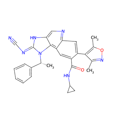 Cc1noc(C)c1-c1cc2ncc3[nH]c(=NC#N)n([C@H](C)c4ccccc4)c3c2cc1C(=O)NC1CC1